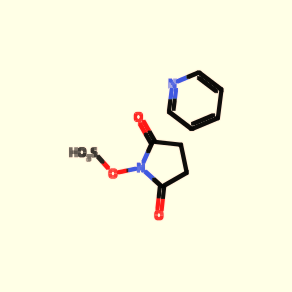 O=C1CCC(=O)N1OS(=O)(=O)O.c1ccncc1